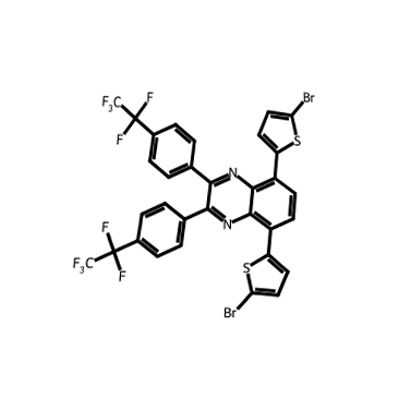 FC(F)(F)C(F)(F)c1ccc(-c2nc3c(-c4ccc(Br)s4)ccc(-c4ccc(Br)s4)c3nc2-c2ccc(C(F)(F)C(F)(F)F)cc2)cc1